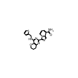 NC(=O)c1cccn2c(-c3nc4c(c(NCc5cccs5)n3)OCCC4)ncc12